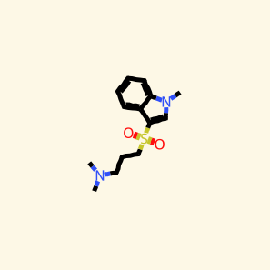 CN(C)CCCS(=O)(=O)c1cn(C)c2ccccc12